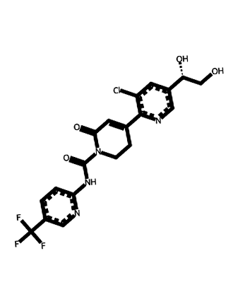 O=C1C=C(c2ncc([C@H](O)CO)cc2Cl)CCN1C(=O)Nc1ccc(C(F)(F)F)cn1